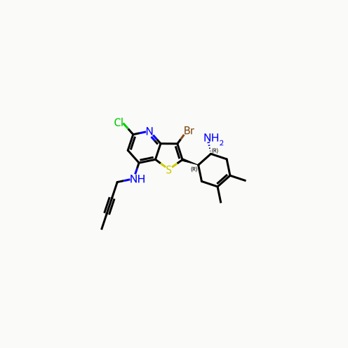 CC#CCNc1cc(Cl)nc2c(Br)c([C@@H]3CC(C)=C(C)C[C@H]3N)sc12